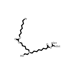 CCCCCCCCC(CCCCCCCC)OC(=O)CCCCCCCN(CCO)CCCCCOC(=O)OCCCCCCCC(C)C